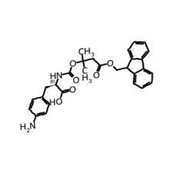 CC(C)(CC(=O)OCC1c2ccccc2-c2ccccc21)OC(=O)N[C@H](Cc1ccc(N)cc1)C(=O)O